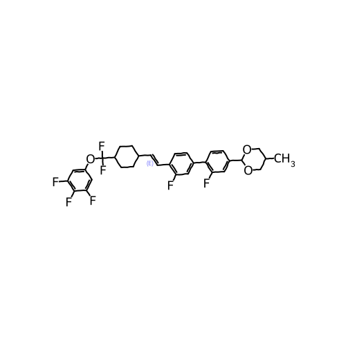 CC1COC(c2ccc(-c3ccc(/C=C/C4CCC(C(F)(F)Oc5cc(F)c(F)c(F)c5)CC4)c(F)c3)c(F)c2)OC1